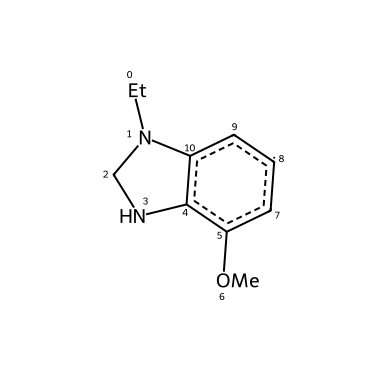 CCN1CNc2c(OC)c[c]cc21